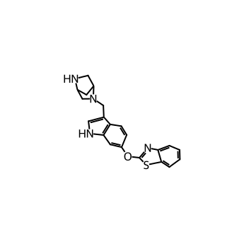 c1ccc2sc(Oc3ccc4c(CN5CC6CC5CN6)c[nH]c4c3)nc2c1